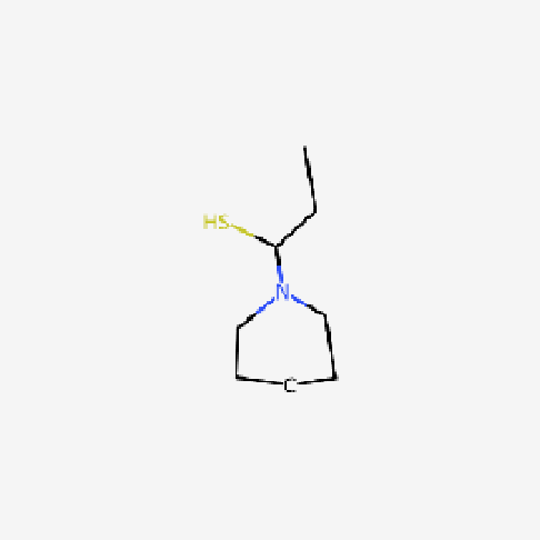 CCC(S)N1CCCCC1